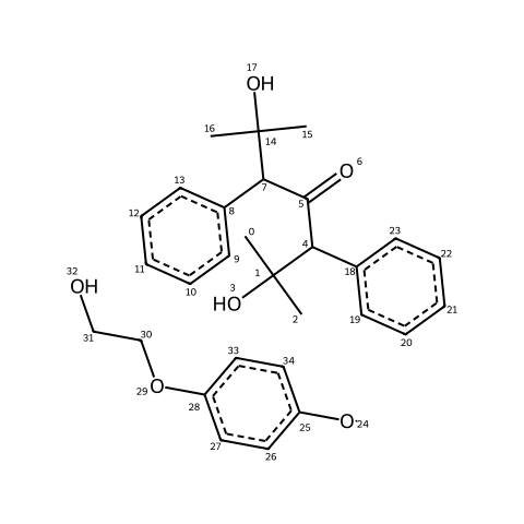 CC(C)(O)C(C(=O)C(c1ccccc1)C(C)(C)O)c1ccccc1.[O]c1ccc(OCCO)cc1